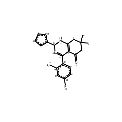 CC1(C)CC(=O)C2=C(C1)NC(c1cccs1)N=C2c1ccc(F)cc1Cl